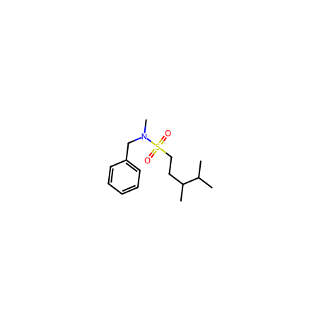 CC(C)C(C)CCS(=O)(=O)N(C)Cc1ccccc1